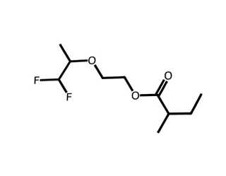 CCC(C)C(=O)OCCOC(C)C(F)F